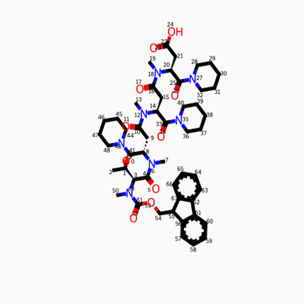 CC(C)[C@@H](C(=O)N(C)[C@@H](CC(=O)N(C)[C@@H](CC(=O)N(C)[C@@H](CC(=O)O)C(=O)N1CCCCC1)C(=O)N1CCCCC1)C(=O)N1CCCCC1)N(C)C(=O)OCC1c2ccccc2-c2ccccc21